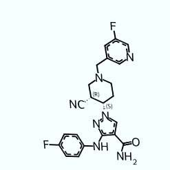 N#C[C@@H]1CN(Cc2cncc(F)c2)CC[C@@H]1n1cc(C(N)=O)c(Nc2ccc(F)cc2)n1